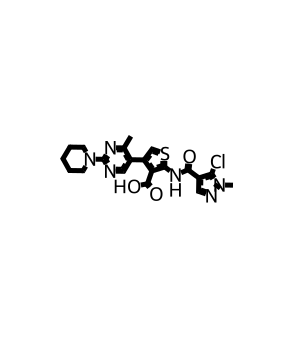 Cc1nc(N2CCCCC2)ncc1-c1csc(NC(=O)c2cnn(C)c2Cl)c1C(=O)O